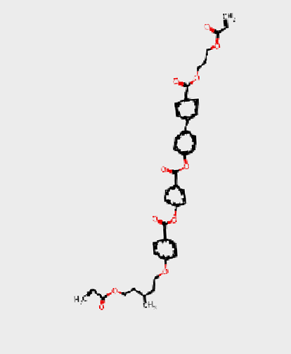 C=CC(=O)OCCCOC(=O)c1ccc(-c2ccc(OC(=O)c3ccc(OC(=O)c4ccc(OCCC(C)CCOC(=O)C=C)cc4)cc3)cc2)cc1